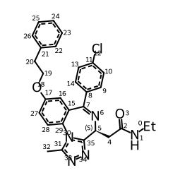 CCNC(=O)C[C@@H]1N=C(c2ccc(Cl)cc2)c2cc(OCCc3ccccc3)ccc2-n2c(C)nnc21